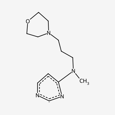 CN(CCCN1CCOCC1)c1ccn[c]n1